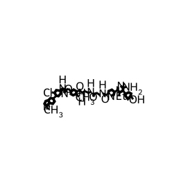 CCc1c(-c2ccc(C(=O)NCCC(=O)NCCNC(=O)c3cc(Oc4nc5cc(-c6ccc7c(ccn7C)c6)c(Cl)cc5[nH]4)ccc3C)nc2)cnc(N)c1-c1ccc(O)cc1